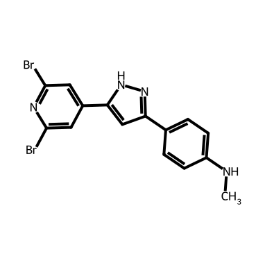 CNc1ccc(-c2cc(-c3cc(Br)nc(Br)c3)[nH]n2)cc1